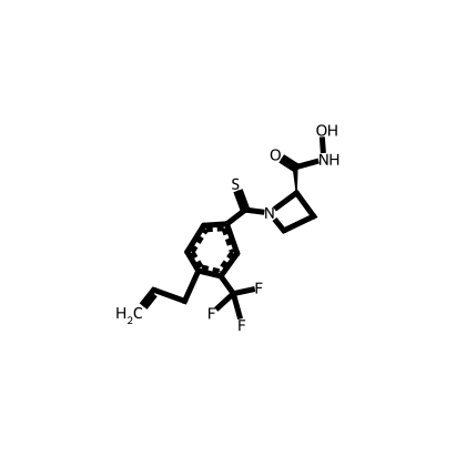 C=CCc1ccc(C(=S)N2CC[C@@H]2C(=O)NO)cc1C(F)(F)F